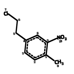 Cc1ccc(CCCl)cc1[N+](=O)[O-]